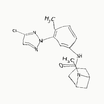 Cc1ccc(NC(=O)N2C3CC(C)CC2C3)cc1-n1ncc(Cl)n1